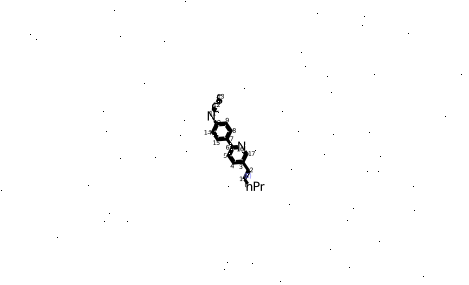 CCC/C=C/c1ccc(-c2ccc(N=C=S)cc2)nc1